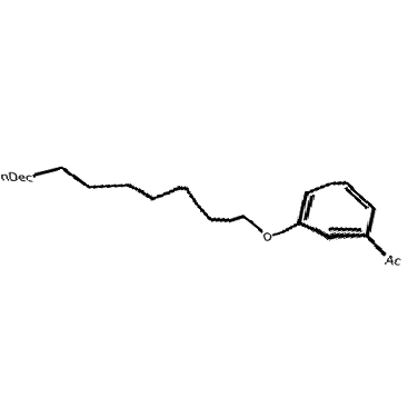 CCCCCCCCCCCCCCCCCOc1cccc(C(C)=O)c1